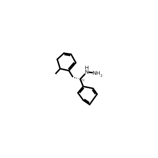 CC1CC=CC=C1C[C@H](NN)c1ccccc1